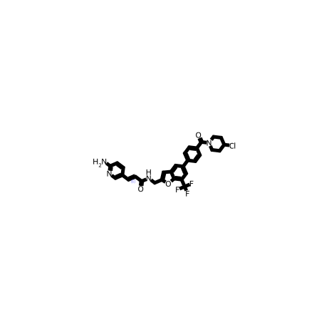 Nc1ccc(/C=C/C(=O)NCc2cc3cc(-c4ccc(C(=O)N5CCC(Cl)CC5)cc4)cc(C(F)(F)F)c3o2)cn1